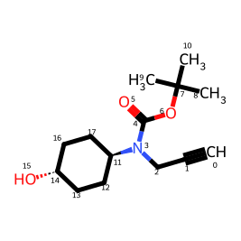 C#CCN(C(=O)OC(C)(C)C)[C@H]1CC[C@H](O)CC1